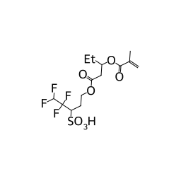 C=C(C)C(=O)OC(CC)CC(=O)OCCC(C(F)(F)C(F)F)S(=O)(=O)O